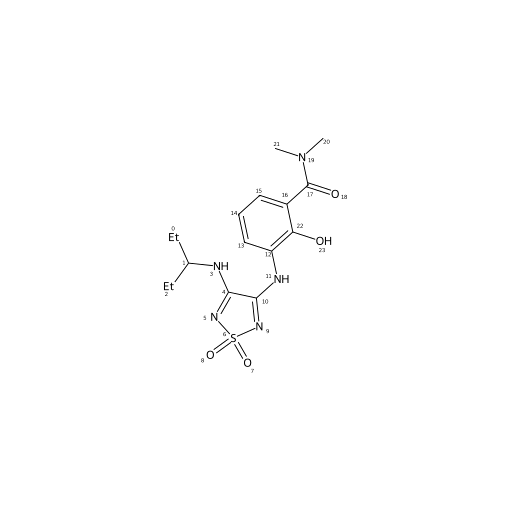 CCC(CC)NC1=NS(=O)(=O)N=C1Nc1cccc(C(=O)N(C)C)c1O